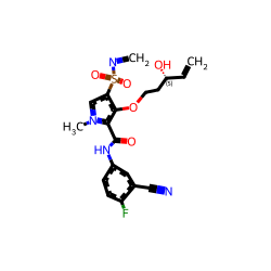 C=C[C@@H](O)CCOc1c(S(=O)(=O)N=C)cn(C)c1C(=O)Nc1ccc(F)c(C#N)c1